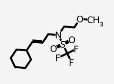 COCCN(CC=CC1CCCCC1)S(=O)(=O)C(F)(F)F